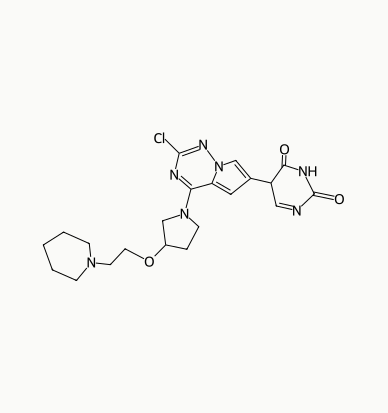 O=C1N=CC(c2cc3c(N4CCC(OCCN5CCCCC5)C4)nc(Cl)nn3c2)C(=O)N1